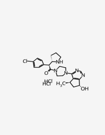 C[C@@H]1C[C@@H](O)c2ncnc(N3CCN(C(=O)[C@@H](c4ccc(Cl)cc4)[C@@H]4CCCN4)CC3)c21.Cl.Cl